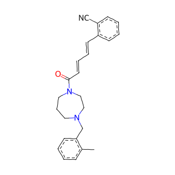 Cc1ccccc1CN1CCCN(C(=O)C=CC=Cc2ccccc2C#N)CC1